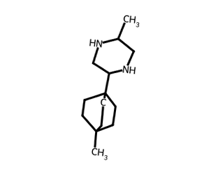 CC1CNC(C23CCC(C)(CC2)CC3)CN1